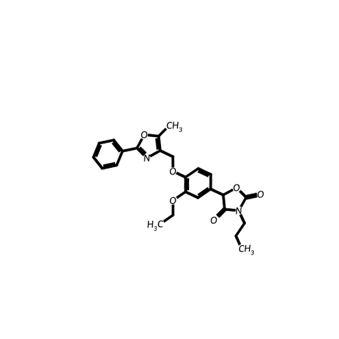 CCCN1C(=O)OC(c2ccc(OCc3nc(-c4ccccc4)oc3C)c(OCC)c2)C1=O